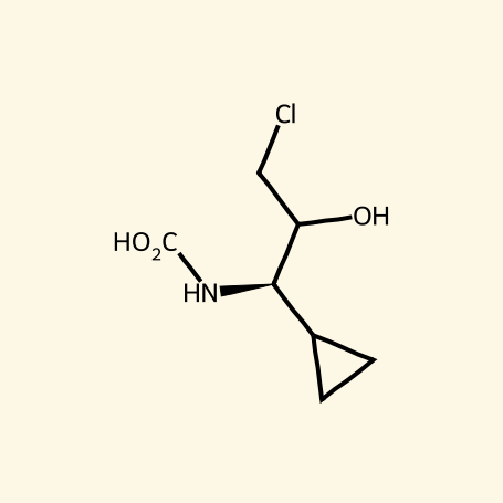 O=C(O)N[C@@H](C(O)CCl)C1CC1